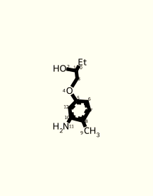 CCC(O)COc1ccc(C)c(N)c1